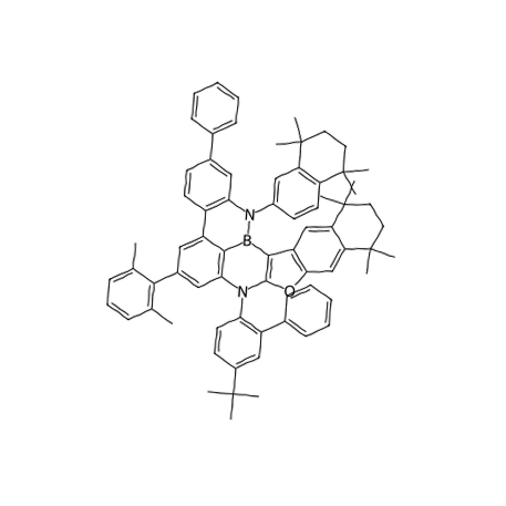 Cc1cccc(C)c1-c1cc2c3c(c1)N(c1ccc(C(C)(C)C)cc1-c1ccccc1)c1oc4cc5c(cc4c1B3N(c1ccc3c(c1)C(C)(C)CCC3(C)C)c1cc(-c3ccccc3)ccc1-2)C(C)(C)CCC5(C)C